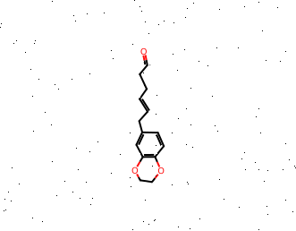 O=[C]CCC=CCc1ccc2c(c1)OCCO2